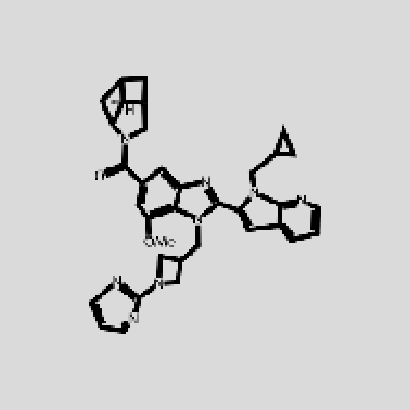 COc1cc(C(=O)N2CC3CC4CC2[C@H]43)cc2nc(-c3cc4cccnc4n3CC3CC3)n(CC3CN(c4ncccn4)C3)c12